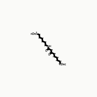 CCCCCCCCCCCCCCCCNC(=O)CC(=O)CCCCCCCCCCCCCCC